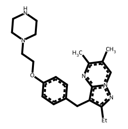 CCc1nn2cc(C)c(C)nc2c1Cc1ccc(OCCN2CCNCC2)cc1